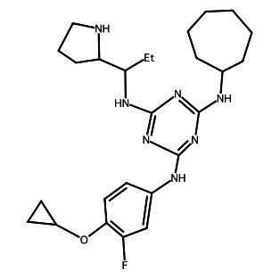 CCC(Nc1nc(Nc2ccc(OC3CC3)c(F)c2)nc(NC2CCCCCC2)n1)C1CCCN1